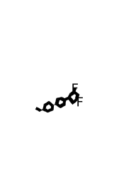 CC[C@H]1CC[C@H](c2ccc(-c3cc(F)cc(F)c3)cc2)CC1